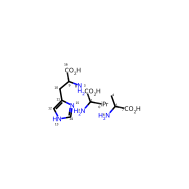 CC(C)C(N)C(=O)O.CC(N)C(=O)O.NC(Cc1c[nH]cn1)C(=O)O